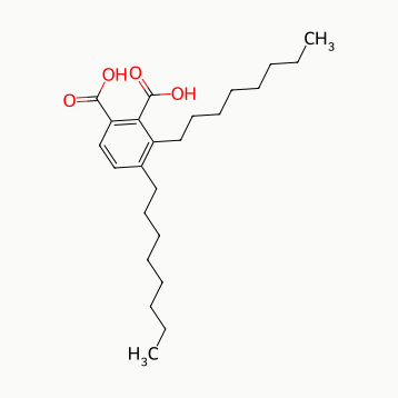 CCCCCCCCc1ccc(C(=O)O)c(C(=O)O)c1CCCCCCCC